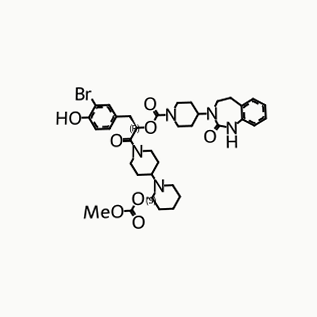 COC(=O)O[C@H]1CCCCN1C1CCN(C(=O)[C@@H](Cc2ccc(O)c(Br)c2)OC(=O)N2CCC(N3CCc4ccccc4NC3=O)CC2)CC1